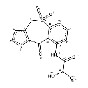 O=C1c2sccc2CS(=O)(=O)c2cccc(NC(=O)C(O)C(F)(F)F)c21